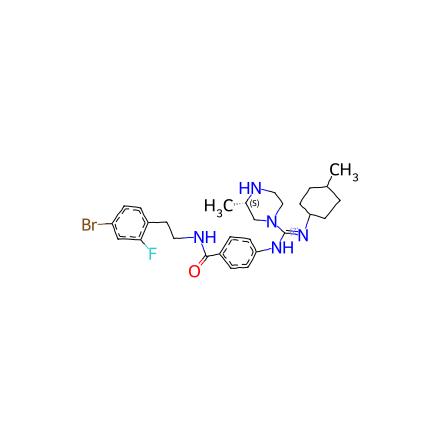 CC1CCC(/N=C(/Nc2ccc(C(=O)NCCc3ccc(Br)cc3F)cc2)N2CCN[C@@H](C)C2)CC1